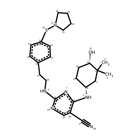 CC1(C)C[C@H](Nc2nc(NCCc3ccc(SN4CCCC4)cc3)ncc2C#N)CC[C@@H]1O